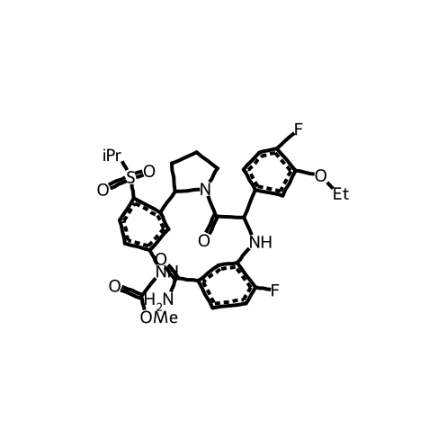 CCOc1cc(C(Nc2cc(C(N)=O)ccc2F)C(=O)N2CCCC2c2cc(NC(=O)OC)ccc2S(=O)(=O)C(C)C)ccc1F